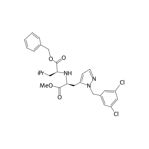 COC(=O)[C@H](Cc1ccnn1Cc1cc(Cl)cc(Cl)c1)N[C@@H](CC(C)C)C(=O)OCc1ccccc1